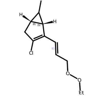 CCOOC/C=C/C1=C(Cl)C[C@@H]2C(C)[C@H]12